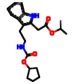 CC(C)OC(=O)Cc1[nH]c2ccccc2c1CCNC(=O)OC1CCCC1